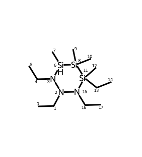 CCN1N(CC)[SiH](C)[Si](C)(C)[Si](C)(CC)N1CC